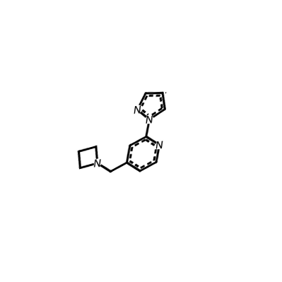 [c]1cnn(-c2cc(CN3CCC3)ccn2)c1